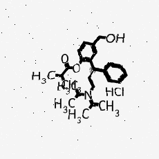 CC(C)C(=O)Oc1ccc(CO)cc1[C@H](CCN(C(C)C)C(C)C)c1ccccc1.Cl